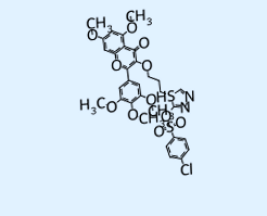 COc1cc(OC)c2c(=O)c(OCCC[SH]3C=NN=C3OS(=O)(=O)c3ccc(Cl)cc3)c(-c3cc(OC)c(OC)c(OC)c3)oc2c1